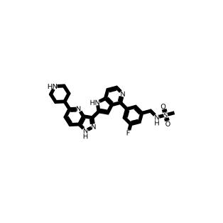 CS(=O)(=O)NCc1cc(F)cc(-c2nccc3[nH]c(-c4n[nH]c5ccc(C6CCNCC6)nc45)cc23)c1